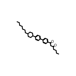 CCCCCCCC1CCC(c2ccc(-c3ccc(C(=O)CC(=O)CCCC)cc3)cc2)CC1